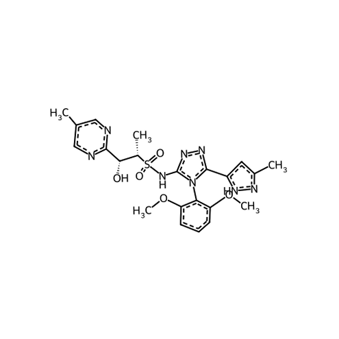 COc1cccc(OC)c1-n1c(NS(=O)(=O)[C@@H](C)[C@H](O)c2ncc(C)cn2)nnc1-c1cc(C)n[nH]1